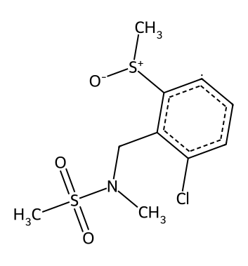 CN(Cc1c([S+](C)[O-])[c]ccc1Cl)S(C)(=O)=O